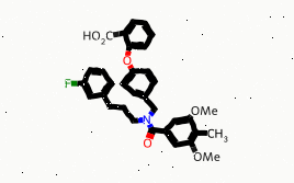 COc1cc(C(=O)N(CCCc2cccc(F)c2)Cc2ccc(Oc3ccccc3C(=O)O)cc2)cc(OC)c1C